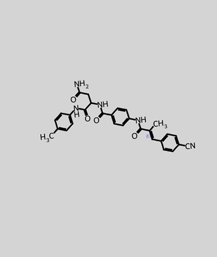 C/C(=C\c1ccc(C#N)cc1)C(=O)Nc1ccc(C(=O)NC(CC(N)=O)C(=O)Nc2ccc(C)cc2)cc1